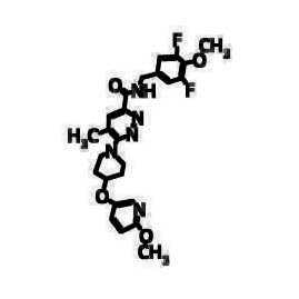 COc1ccc(OC2CCN(c3nnc(C(=O)NCc4cc(F)c(OC)c(F)c4)cc3C)CC2)cn1